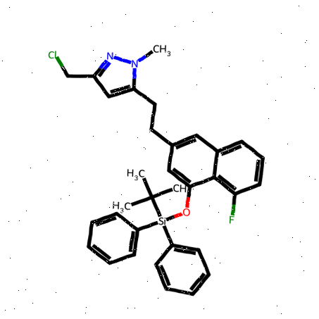 Cn1nc(CCl)cc1CCc1cc(O[Si](c2ccccc2)(c2ccccc2)C(C)(C)C)c2c(F)cccc2c1